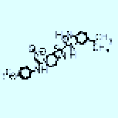 COc1ccc(NC(=C[N+](=O)[O-])N2CCc3nc(C(=O)Nc4cc(C(C)C)ccc4N)sc3C2)cc1